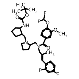 COc1cc(C(=O)N(C/C(C)=C/c2ccc(F)cc2F)CC2CCCN2CC2CCCC2NC(=O)OC(C)(C)C)ccc1OC(F)F